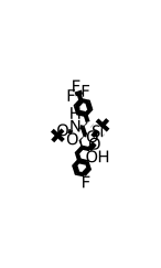 CC(C)(C)OC(=O)N[C@H](Cc1ccc(C(F)(F)F)cc1)[C@@H](C[C@H](Cc1ccc(F)cc1)C(=O)O)O[Si](C)(C)C(C)(C)C